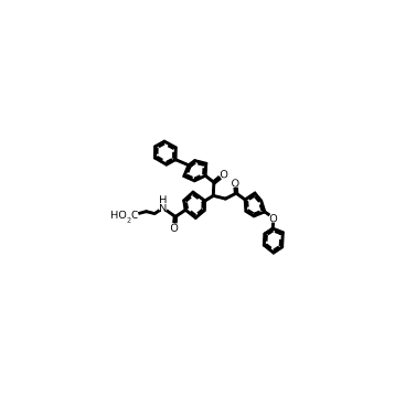 O=C(O)CCNC(=O)c1ccc(C(CC(=O)c2ccc(Oc3ccccc3)cc2)C(=O)c2ccc(-c3ccccc3)cc2)cc1